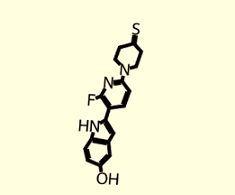 Oc1ccc2[nH]c(-c3ccc(N4CCC(=S)CC4)nc3F)cc2c1